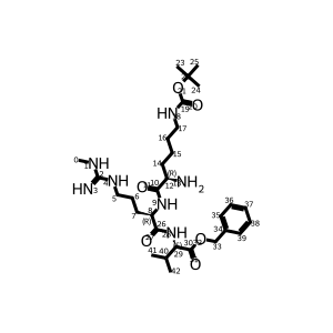 CNC(=N)NCCC[C@@H](NC(=O)[C@H](N)CCCCNC(=O)OC(C)(C)C)C(=O)N[C@H](C(=O)OCc1ccccc1)C(C)C